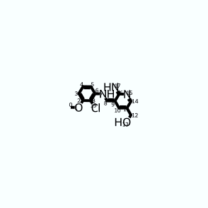 COc1cccc(N/C=C2/C=C(CO)C=NC2=N)c1Cl